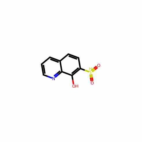 O=[SH](=O)c1ccc2cccnc2c1O